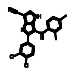 Cc1ccc(Nc2c(-c3ccc(Cl)c(Cl)c3)nc3c(C#N)c[nH]n23)c(C)c1